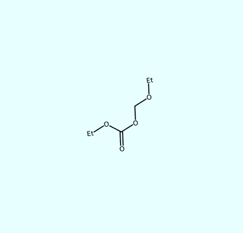 CCOCOC(=O)OCC